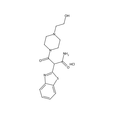 Cl.NC(=O)C(C(=O)N1CCN(CCO)CC1)c1nc2ccccc2s1